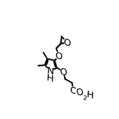 Cc1[nH]c(OCCC(=O)O)c(OCC2CO2)c1C